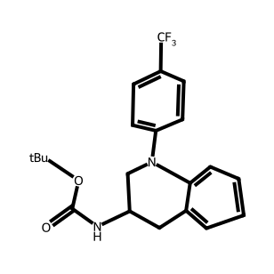 CC(C)(C)OC(=O)NC1Cc2ccccc2N(c2ccc(C(F)(F)F)cc2)C1